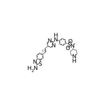 CN(C1CCNCC1)S(=O)(=O)c1ccc(Nc2ncc(/C=C/c3ccc4nc(N)sc4c3)cn2)cc1